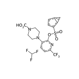 FC(F)F.O=C(O)N1CCN(c2ccc(C(F)(F)F)nc2OS(=O)(=O)c2ccc3cc2-3)CC1